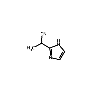 CC(C#N)c1ncc[nH]1